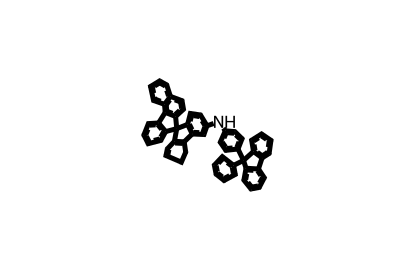 C1=CC2=C(CC1)c1cc(Nc3ccc(C4(c5ccccc5)c5ccccc5-c5ccccc54)cc3)ccc1C21c2ccccc2-c2c1ccc1ccccc21